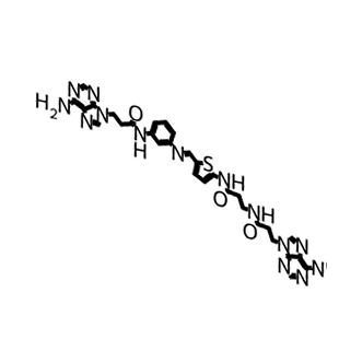 Nc1ncnc2c1ncn2CCC(=O)NCCC(=O)Nc1ccc(/C=N/c2cccc(NC(=O)CCn3cnc4c(N)ncnc43)c2)s1